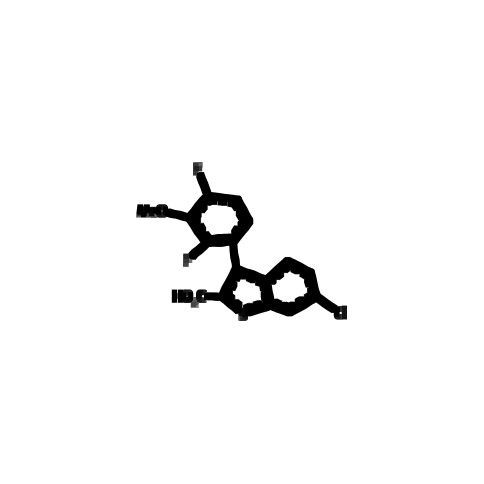 COc1c(F)ccc(-c2c(C(=O)O)sc3cc(Cl)ccc23)c1F